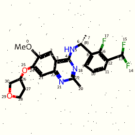 COc1cc2c(N[C@H](C)c3cccc(C(F)F)c3F)nc(C)nc2cc1OC1CCOC1